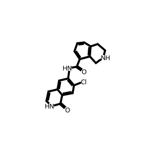 O=C(Nc1cc2cc[nH]c(=O)c2cc1Cl)c1cccc2c1CNCC2